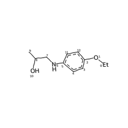 CCOc1ccc(NCC(C)O)cc1